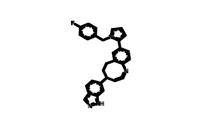 Fc1ccc(Cn2cccc2-c2ccc3c(c2)CCC(c2ccc4cn[nH]c4c2)C=C=N3)cc1